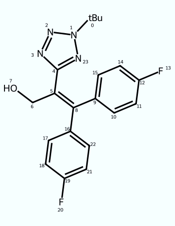 CC(C)(C)n1nnc(C(CO)=C(c2ccc(F)cc2)c2ccc(F)cc2)n1